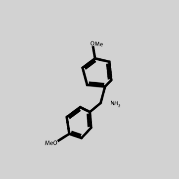 COc1ccc(Cc2ccc(OC)cc2)cc1.N